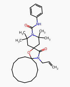 C=CCN1C(=O)C2(CC(C)(C)N(C(=O)Nc3ccccc3)C(C)(C)C2)OC12CCCCCCCCCCC2